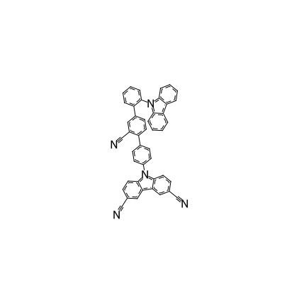 N#Cc1ccc2c(c1)c1cc(C#N)ccc1n2-c1ccc(-c2ccc(-c3ccccc3-n3c4ccccc4c4ccccc43)cc2C#N)cc1